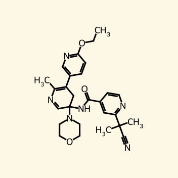 CCOc1ccc(C2=C(C)N=CC(NC(=O)c3ccnc(C(C)(C)C#N)c3)(N3CCOCC3)C2)cn1